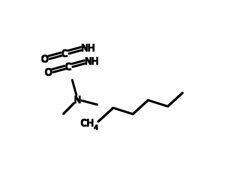 C.CCCCCC.CN(C)C.N=C=O.N=C=O